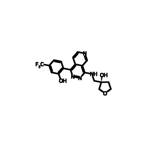 Oc1cc(C(F)(F)F)ccc1-c1nnc(NC[C@@]2(O)CCOC2)c2cnccc12